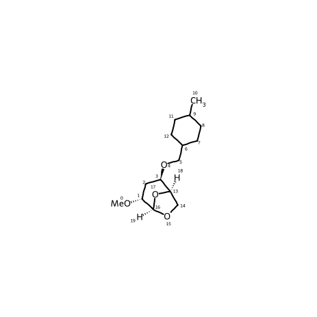 CO[C@@H]1C[C@@H](OCC2CCC(C)CC2)[C@H]2CO[C@@H]1O2